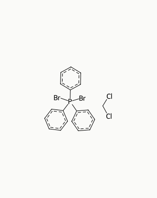 BrP(Br)(c1ccccc1)(c1ccccc1)c1ccccc1.ClCCl